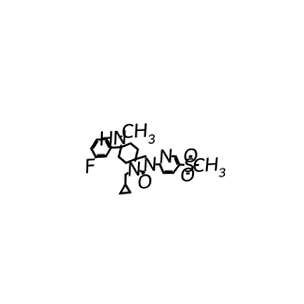 CNC1(c2cccc(F)c2)CCC2(CC1)CN(c1ccc(S(C)(=O)=O)cn1)C(=O)N2CC1CC1